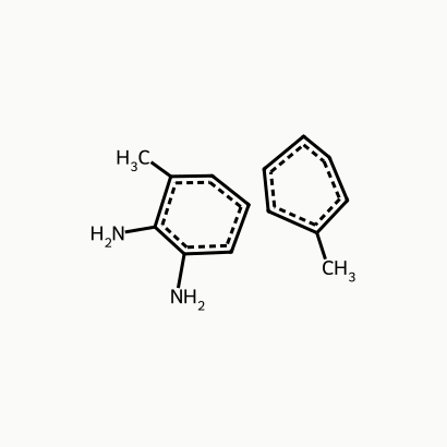 Cc1cccc(N)c1N.Cc1ccccc1